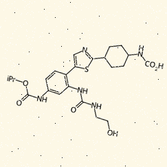 CC(C)OC(=O)Nc1ccc(-c2cnc(C3CCC(NC(=O)O)CC3)s2)c(NC(=O)NCCO)c1